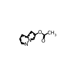 CC(=O)Oc1cc2cccnn2c1